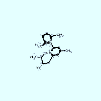 Cc1cc(C[C@H](C)[C@H](C)O)nc(-n2c(C)ccc2C)c1